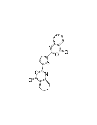 O=c1oc(-c2ccc(-c3nc4ccccc4c(=O)o3)s2)nc2c1=CCCC=2